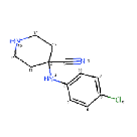 N#CC1(Nc2ccc(Cl)cc2)CCNCC1